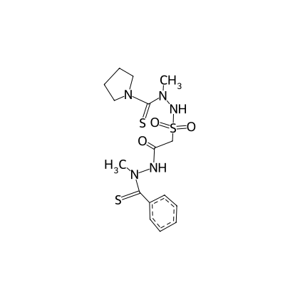 CN(NC(=O)CS(=O)(=O)NN(C)C(=S)N1CCCC1)C(=S)c1ccccc1